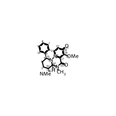 CN[C@H]1CC[C@@H](c2ccccc2)N2[C@@H]1N(C)C(=O)c1c(OC)c(=O)ccn12